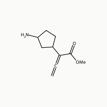 C=C=C(C(=O)OC)C1CCC(N)C1